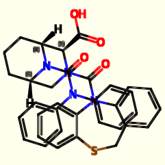 O=C(O)[C@@H]1[C@H]2CCC[C@@H](CN1C(=O)N1c3ccccc3CSc3ccccc31)N2C(=O)N(c1ccccc1)c1ccccc1